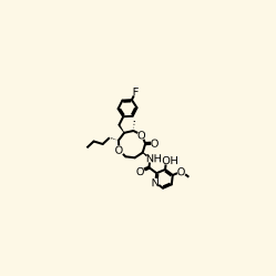 CCCC[C@H]1OCC[C@H](NC(=O)c2nccc(OC)c2O)C(=O)O[C@@H](C)[C@@H]1Cc1ccc(F)cc1